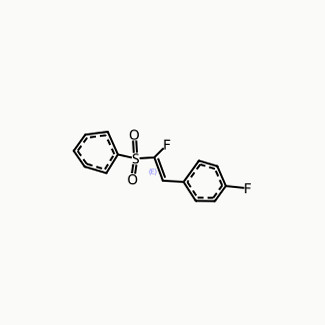 O=S(=O)(/C(F)=C/c1ccc(F)cc1)c1ccccc1